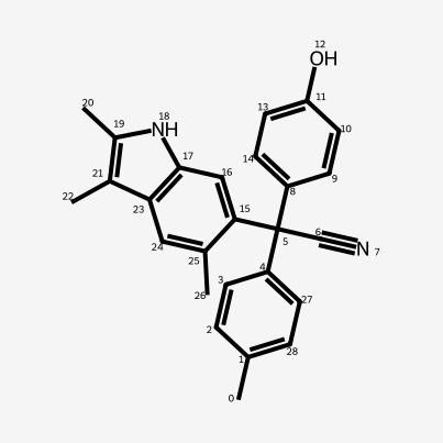 Cc1ccc(C(C#N)(c2ccc(O)cc2)c2cc3[nH]c(C)c(C)c3cc2C)cc1